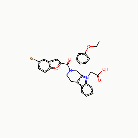 CCOc1ccc([C@@H]2c3c(c4ccccc4n3CC(=O)O)CCN2C(=O)c2cc3cc(Br)ccc3o2)cc1